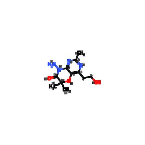 Cc1nc(CCO)c2c(n1)N(N)C(=O)C(C)(C)O2